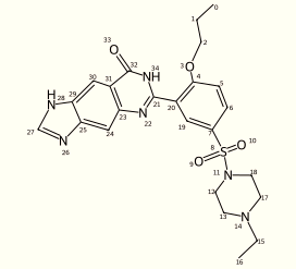 CCCOc1ccc(S(=O)(=O)N2CCN(CC)CC2)cc1-c1nc2cc3nc[nH]c3cc2c(=O)[nH]1